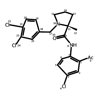 CC(=O)c1cc(Cl)ccc1NC(=O)[C@@]1(C)CCCN1Cc1ccc(Cl)c(Cl)c1